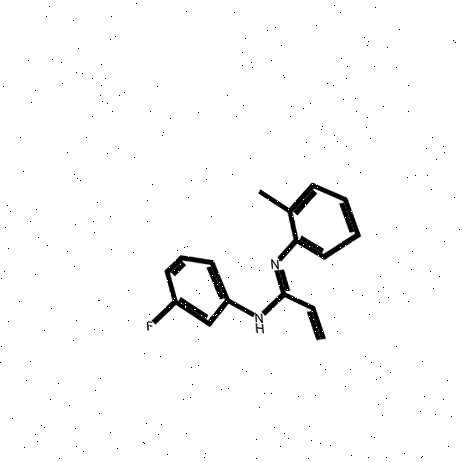 C=C/C(=N\c1ccccc1C)Nc1cccc(F)c1